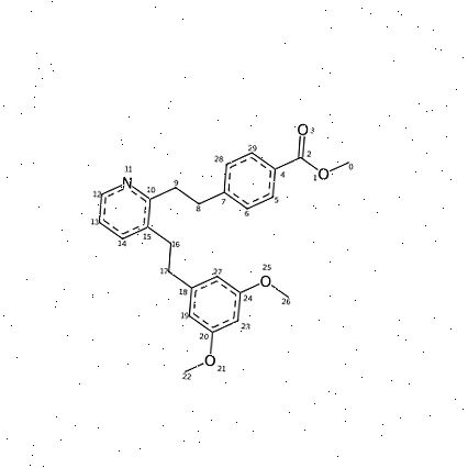 COC(=O)c1ccc(CCc2ncccc2CCc2cc(OC)cc(OC)c2)cc1